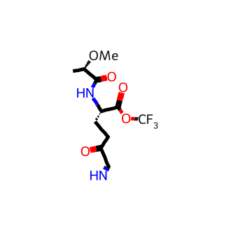 CO[C@H](C)C(=O)N[C@@H](CCC(=O)C=N)C(=O)OC(F)(F)F